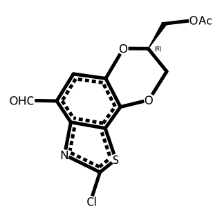 CC(=O)OC[C@H]1COc2c(cc(C=O)c3nc(Cl)sc23)O1